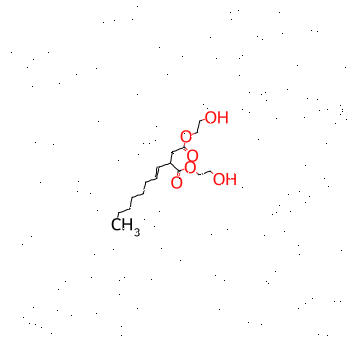 CCCCCCC=CC(CC(=O)OCCO)C(=O)OCCO